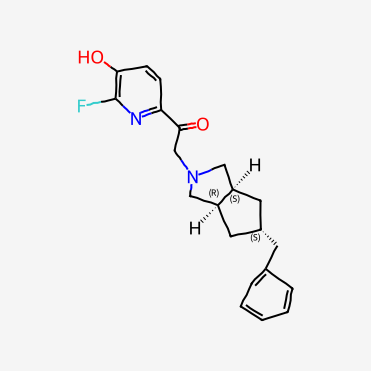 O=C(CN1C[C@H]2C[C@H](Cc3ccccc3)C[C@H]2C1)c1ccc(O)c(F)n1